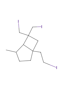 CC1CCC2(CCI)CC(CI)(CI)C12